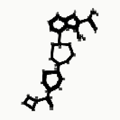 NC(=O)c1sc2nccc(N3CCCN(c4ccc(C(=O)N5CCC5)cc4)CC3)c2c1N